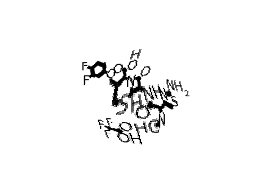 Nc1nc(/C(=N/O)C(=O)NC2C(=O)N3C(C(=O)O)=C(COc4ccc(F)c(F)c4)CS[C@H]23)cs1.O=C(O)C(F)(F)F